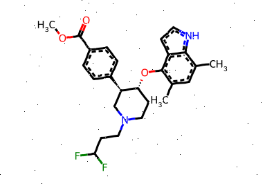 COC(=O)c1ccc([C@@H]2CN(CCC(F)F)CC[C@H]2Oc2c(C)cc(C)c3[nH]ccc23)cc1